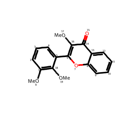 COc1cccc(-c2oc3ccccc3c(=O)c2OC)c1OC